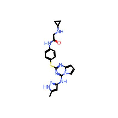 Cc1cc(Nc2nc(Sc3ccc(NC(=O)CNC4CC4)cc3)nc3cccn23)n[nH]1